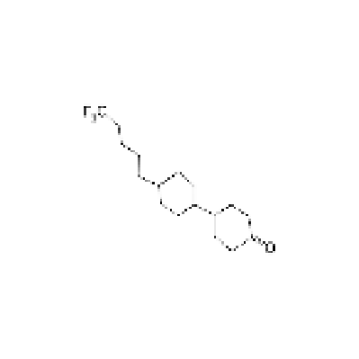 O=C1CCC(C2CCC(CCCCC(F)(F)F)CC2)CC1